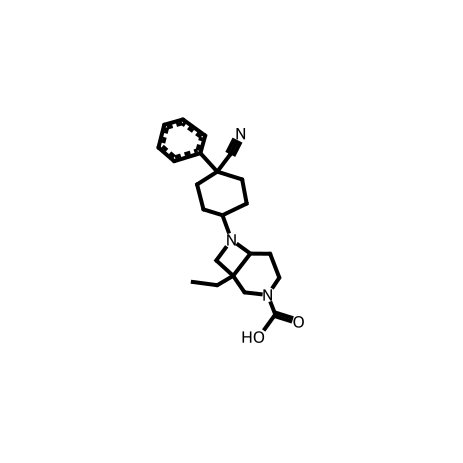 CCC12CN(C(=O)O)CCC1N(C1CCC(C#N)(c3ccccc3)CC1)C2